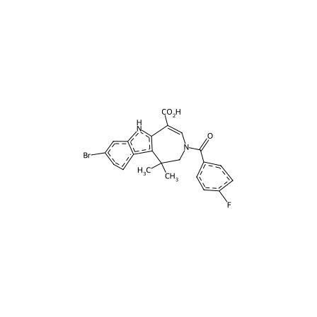 CC1(C)CN(C(=O)c2ccc(F)cc2)C=C(C(=O)O)c2[nH]c3cc(Br)ccc3c21